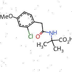 COc1ccc(CC(=O)NC(C)(C)C(=O)O)c(Cl)c1